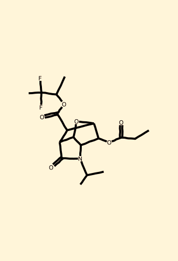 CCC(=O)OC1C2OC3C(C(=O)N(C(C)C)C13)C2C(=O)OC(C)C(C)(F)F